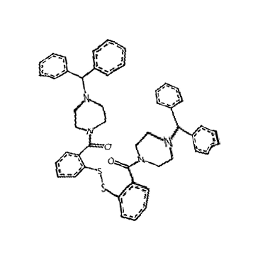 O=C(c1ccccc1SSc1ccccc1C(=O)N1CCN(C(c2ccccc2)c2ccccc2)CC1)N1CCN(C(c2ccccc2)c2ccccc2)CC1